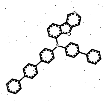 c1ccc(-c2ccc(-c3ccc(N(c4ccc(-c5ccccc5)cc4)c4cccc5c4oc4ccncc45)cc3)cc2)cc1